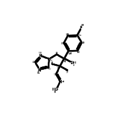 CC(C)(C=NO)C(O)(Cn1cncn1)c1ccc(F)cc1